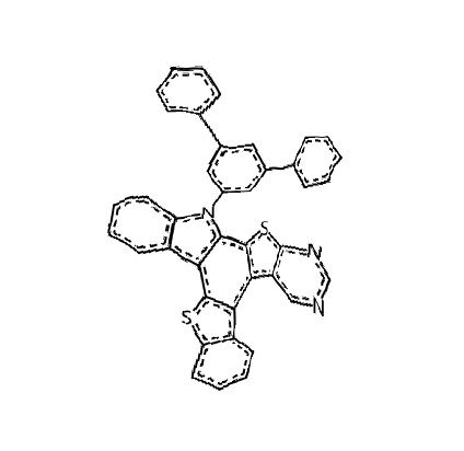 c1ccc(-c2cc(-c3ccccc3)cc(-n3c4ccccc4c4c5sc6ccccc6c5c5c6cncnc6sc5c43)c2)cc1